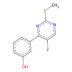 CSc1ncc(F)c(-c2cccc(O)c2)n1